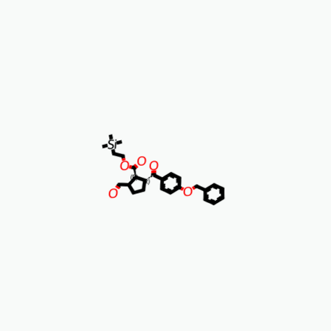 C[Si](C)(C)CCOC(=O)[C@@H]1C(C=O)CC[C@H]1C(=O)c1ccc(OCc2ccccc2)cc1